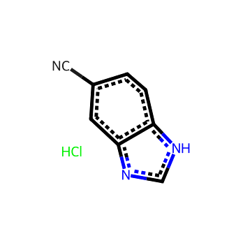 Cl.N#Cc1ccc2[nH]cnc2c1